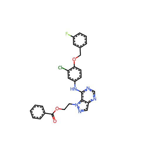 O=C(OCCn1ncc2ncnc(Nc3ccc(OCc4cccc(F)c4)c(Cl)c3)c21)c1ccccc1